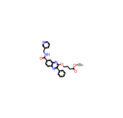 CC(C)(C)OC(=O)CCCOc1nc2cc(C(=O)NCc3cccnc3)ccc2nc1-c1ccccc1